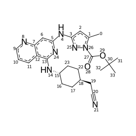 Cc1cc(Nc2cc3ncccc3c(N[C@H]3CC[C@H](CC#N)CC3)n2)nn1C(=O)OC(C)(C)C